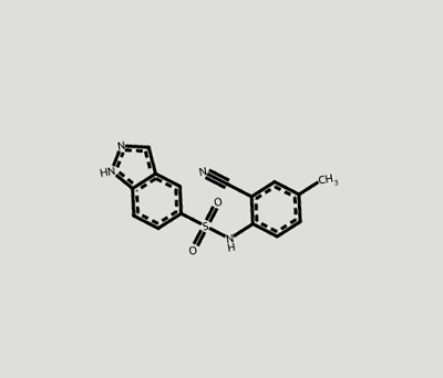 Cc1ccc(NS(=O)(=O)c2ccc3[nH]ncc3c2)c(C#N)c1